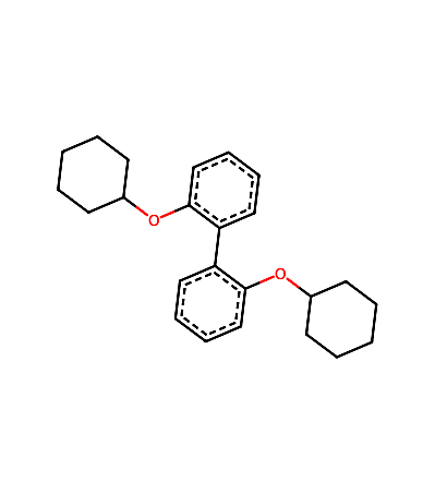 c1ccc(-c2ccccc2OC2CCCCC2)c(OC2CCCCC2)c1